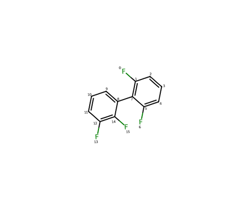 Fc1[c]ccc(F)c1-c1cccc(F)c1F